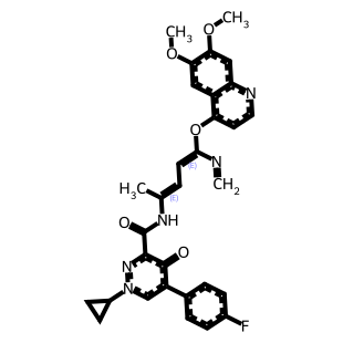 C=N/C(=C\C=C(/C)NC(=O)c1nn(C2CC2)cc(-c2ccc(F)cc2)c1=O)Oc1ccnc2cc(OC)c(OC)cc12